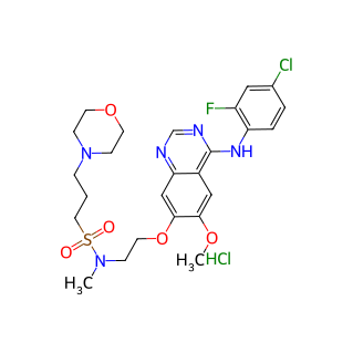 COc1cc2c(Nc3ccc(Cl)cc3F)ncnc2cc1OCCN(C)S(=O)(=O)CCCN1CCOCC1.Cl